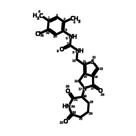 Cc1cc(C)c(NC(=O)NCc2scc3c2CN(C2CCCC(=O)NC2=O)C3=O)cc1Cl